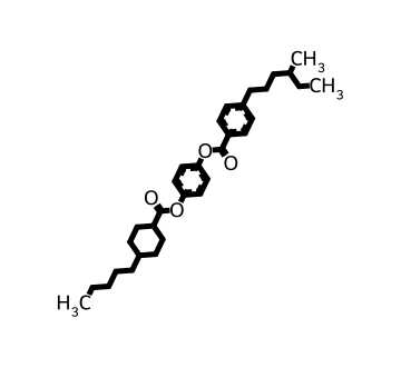 CCCCCC1CCC(C(=O)Oc2ccc(OC(=O)c3ccc(CCCC(C)CC)cc3)cc2)CC1